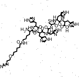 [N-]=[N+]=NCCOCCCCCC(=O)NCCCCC(N)C(=O)NC(Cc1c[nH]cn1)C(=O)NC(Cc1c[nH]cn1)C(=O)NC(Cc1c[nH]cn1)C(=O)NC(CS)C(=O)NC(Cc1c[nH]cn1)C(=O)NC(Cc1c[nH]cn1)C(=O)O